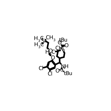 CC(C)(C)OC(=O)N1CCC(C(N[S+]([O-])C(C)(C)C)c2cc(Cl)c(Cl)cc2OCOCC[Si](C)(C)C)CC1(C)C